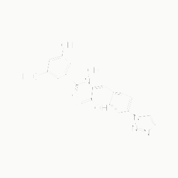 Cc1cc(C)cc(C(=O)N(C)C(=Cc2ccc(-n3ccnn3)cc2)C(=O)O)c1